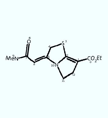 CCOC(=O)C1=C2SC/C(=C\C(=O)NC)N2CC1